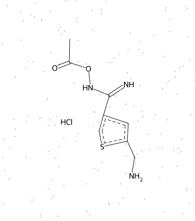 CC(=O)ONC(=N)c1csc(CN)c1.Cl